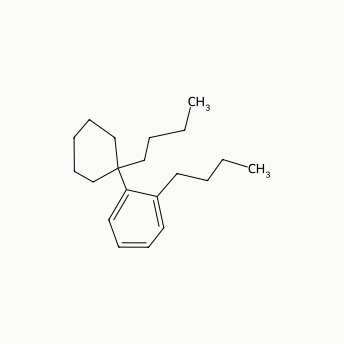 CCCCc1ccccc1C1(CCCC)CCCCC1